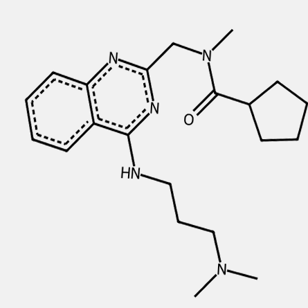 CN(C)CCCNc1nc(CN(C)C(=O)C2CCCC2)nc2ccccc12